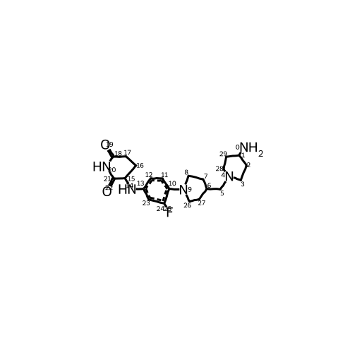 NC1CCN(CC2CCN(c3ccc(NC4CCC(=O)NC4=O)cc3F)CC2)CC1